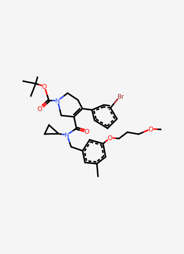 COCCCOc1cc(C)cc(CN(C(=O)C2=C(c3cccc(Br)c3)CCN(C(=O)OC(C)(C)C)C2)C2CC2)c1